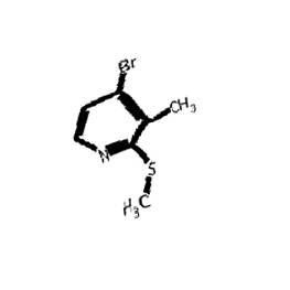 CSc1nccc(Br)c1C